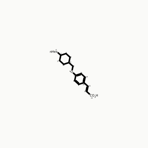 CCCCCCC1CCC(COc2ccc(C=CC(=O)O)cc2)CC1